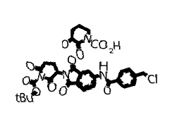 CC(C)(C)OC(=O)N1C(=O)CCC(N2C(=O)c3ccc(NC(=O)c4ccc(CCl)cc4)cc3C2=O)C1=O.O=C1CCCN(C(=O)O)C1=O